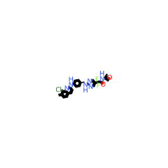 Cc1ccc2ccc(N[C@H]3CC[C@H](CNc4ncc(C(F)(F)C(=O)NC5COC5)cn4)CC3)nc2c1Cl